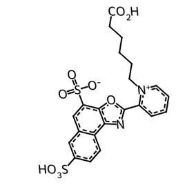 O=C(O)CCCCC[n+]1ccccc1-c1nc2c(o1)c(S(=O)(=O)[O-])cc1cc(S(=O)(=O)O)ccc12